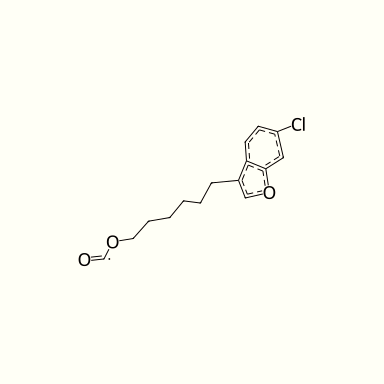 O=[C]OCCCCCCc1coc2cc(Cl)ccc12